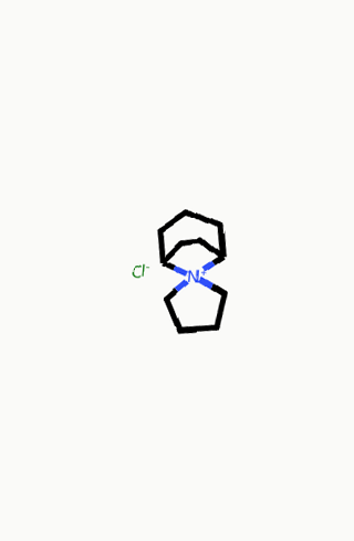 C1CC2CCC(C1)[N+]21CCCC1.[Cl-]